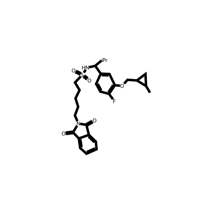 CC(C)C(NS(=O)(=O)CCCCCN1C(=O)c2ccccc2C1=O)c1ccc(F)c(OCC2CC2C)c1